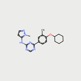 Cn1nccc1Nc1ncnc(-c2ccc(OC3CCCCC3)c(C#N)c2)n1